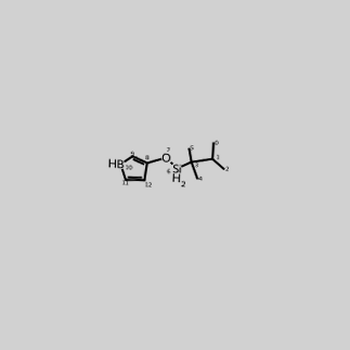 CC(C)C(C)(C)[SiH2]OC1=[C]BC=C1